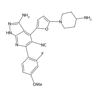 [C-]#[N+]c1c(-c2ccc(OC)cc2F)nc2[nH]nc(N)c2c1-c1ccc(N2CCC(N)CC2)o1